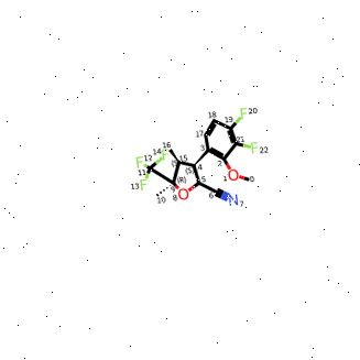 COc1c([C@H]2C(C#N)O[C@@](C)(C(F)(F)F)[C@H]2C)ccc(F)c1F